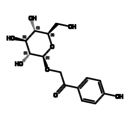 O=C(CO[C@@H]1O[C@H](CO)[C@@H](O)[C@H](O)[C@H]1O)c1ccc(O)cc1